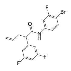 C=CCC(C(=O)Nc1ccc(Br)c(F)c1)c1cc(F)cc(F)c1